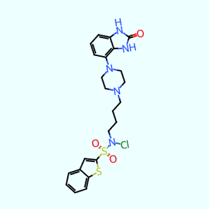 O=c1[nH]c2cccc(N3CCN(CCCCN(Cl)S(=O)(=O)c4cc5ccccc5s4)CC3)c2[nH]1